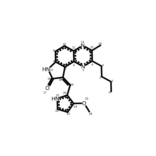 CCCCc1nc2c3c(ccc2nc1C)NC(=O)C3=Cc1[nH]ccc1OC